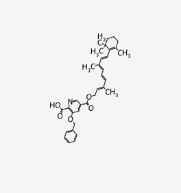 CC(C=CC1=C(C)CCCC1(C)C)=CC=CC(C)=CCOC(=O)c1cnc(C(=O)O)c(OCc2ccccc2)c1